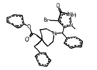 Cn1[nH]c(=O)c(Br)c1C(c1ccccc1)N1CCC(Cc2ccccc2)(C(=O)Oc2ccccc2)CC1